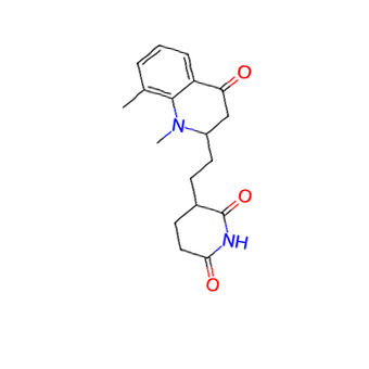 Cc1cccc2c1N(C)C(CCC1CCC(=O)NC1=O)CC2=O